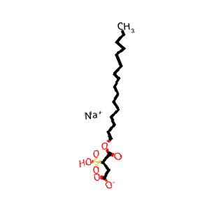 CCCCCCCCCCCCCCCCOC(=O)C(CC(=O)[O-])S(=O)(=O)O.[Na+]